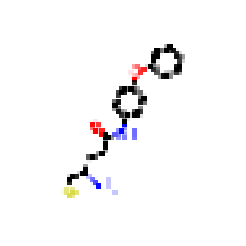 N[C@H](CS)CCC(=O)Nc1ccc(Oc2ccccc2)cc1